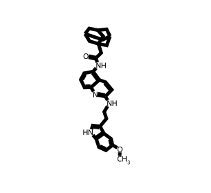 COc1ccc2[nH]cc(CCNc3ccc4c(NC(=O)CC56CC7CC(CC(C7)C5)C6)cccc4n3)c2c1